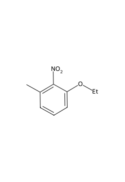 CCOc1cccc(C)c1[N+](=O)[O-]